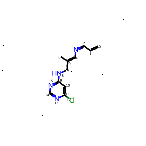 C=C/C=N\C=C(/C)CNc1cc(Cl)ncn1